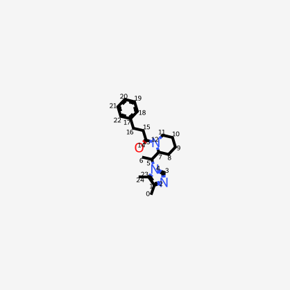 Cc1ncn(C(C)C2CCCCN2C(=O)CCc2ccccc2)c1C